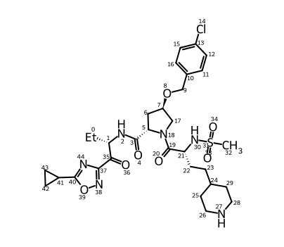 CC[C@H](NC(=O)[C@@H]1C[C@@H](OCc2ccc(Cl)cc2)CN1C(=O)[C@@H](CCC1CCNCC1)NS(C)(=O)=O)C(=O)c1noc(C2CC2)n1